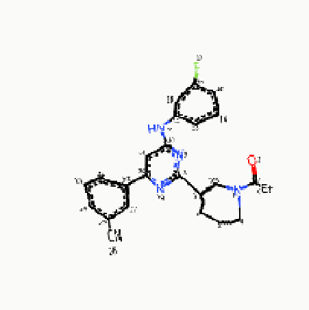 CCC(=O)N1CCCC(c2nc(Nc3cccc(F)c3)cc(-c3cccc(C#N)c3)n2)C1